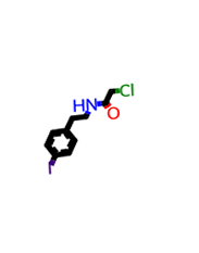 O=C(CCl)NCCc1ccc(I)cc1